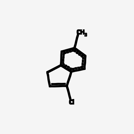 Cc1ccc2c(c1)CC=C2Cl